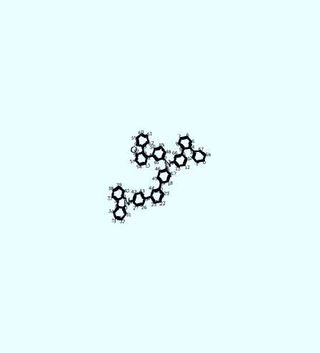 c1ccc(-c2ccccc2-c2cccc(N(c3ccc(-c4cccc(-c5ccc(-n6c7ccccc7c7ccccc76)cc5)c4)cc3)c3cccc(-c4cccc5oc6ccccc6c45)c3)c2)cc1